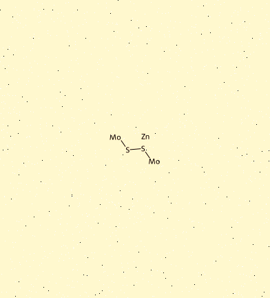 [Mo][S][S][Mo].[Zn]